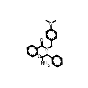 CN(C)c1ccc(CN(C(=O)c2ccccc2)[C@@H](C(N)=O)c2ccccc2)cc1